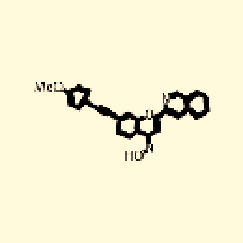 COc1ccc(C#Cc2ccc3/c(=N\O)cc(-c4cc5ccccc5cn4)oc3c2)cc1